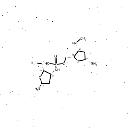 B[C@H]1C[C@@H](NC)[C@@H](COP(=O)(O)N[C@@H]2C[C@H](B)O[C@@H]2CC)O1